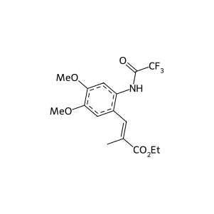 CCOC(=O)C(C)=Cc1cc(OC)c(OC)cc1NC(=O)C(F)(F)F